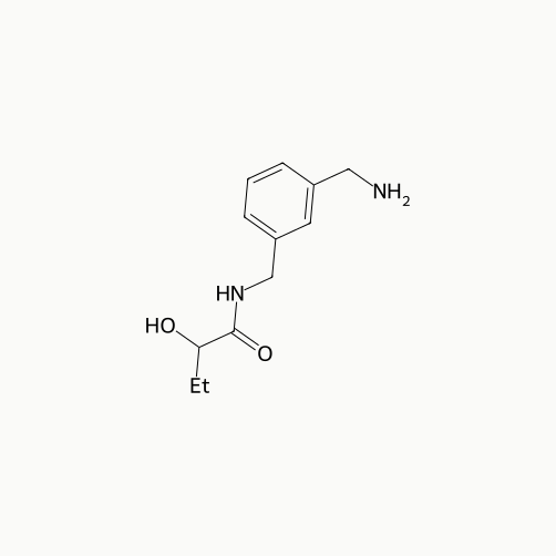 CCC(O)C(=O)NCc1cccc(CN)c1